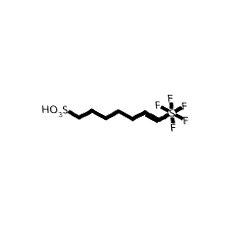 O=S(=O)(O)CCCCC/C=C/S(F)(F)(F)(F)F